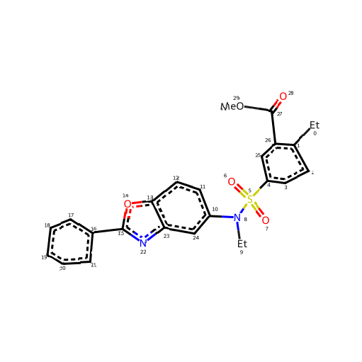 CCc1ccc(S(=O)(=O)N(CC)c2ccc3oc(-c4ccccc4)nc3c2)cc1C(=O)OC